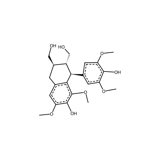 COc1cc([C@H]2c3c(cc(OC)c(O)c3OC)C[C@@H](CO)[C@@H]2CO)cc(OC)c1O